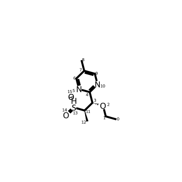 CCO[C@@H](c1ncc(C)cn1)[C@@H](C)[SH](=O)=O